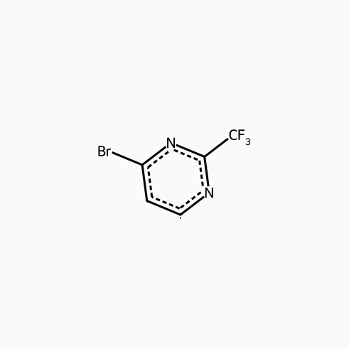 FC(F)(F)c1n[c]cc(Br)n1